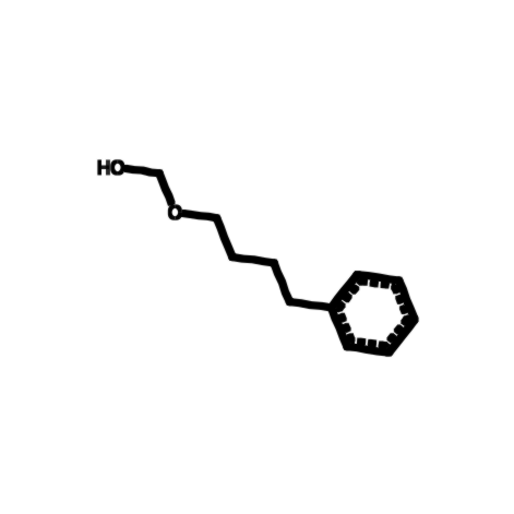 OCOCCCCc1ccccc1